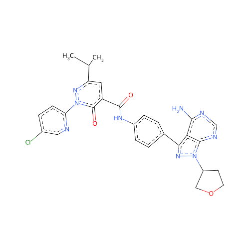 CC(C)c1cc(C(=O)Nc2ccc(-c3nn(C4CCOC4)c4ncnc(N)c34)cc2)c(=O)n(-c2ccc(Cl)cn2)n1